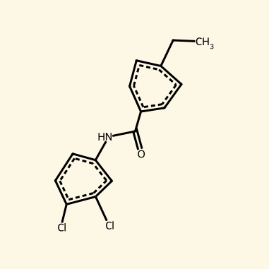 CCc1ccc(C(=O)Nc2ccc(Cl)c(Cl)c2)cc1